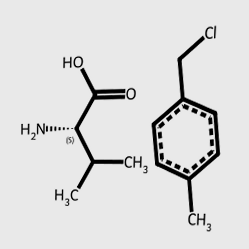 CC(C)[C@H](N)C(=O)O.Cc1ccc(CCl)cc1